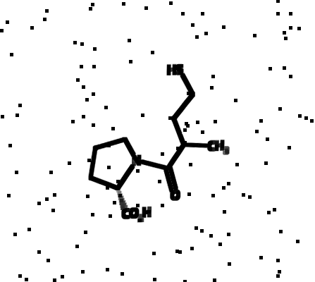 CC(CCS)C(=O)N1CCC[C@H]1C(=O)O